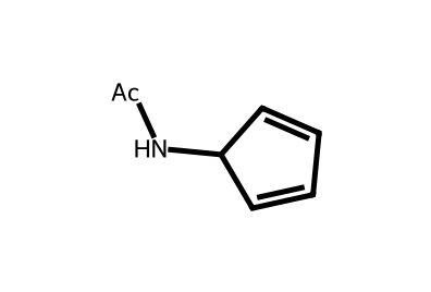 CC(=O)NC1C=CC=C1